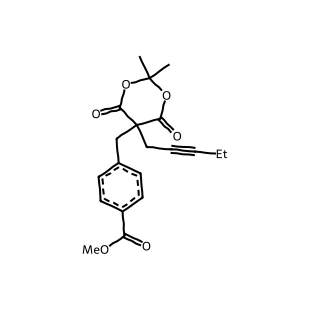 CCC#CCC1(Cc2ccc(C(=O)OC)cc2)C(=O)OC(C)(C)OC1=O